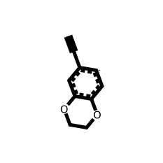 C#Cc1[c]cc2c(c1)OCCO2